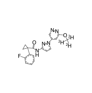 [2H]C([2H])([2H])Oc1cc(-n2ccc(NC(=O)C3(c4ccccc4F)CC3)n2)cnn1